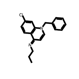 CCC/N=c1\ccn(Cc2ccccc2)c2cc(Cl)ccc12